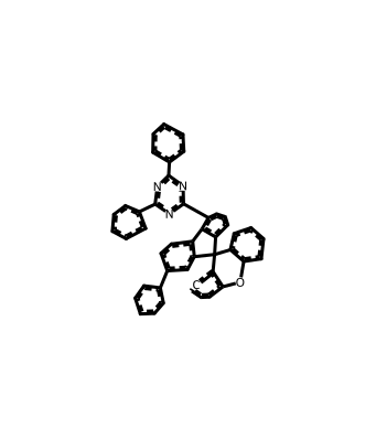 c1ccc(-c2ccc3c(c2)C2(c4ccccc4Oc4ccccc42)c2cccc(-c4nc(-c5ccccc5)nc(-c5ccccc5)n4)c2-3)cc1